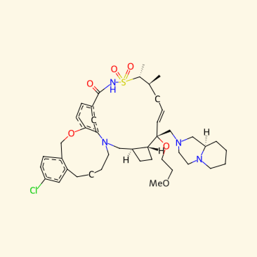 COCCO[C@@]1(CN2CCN3CCCC[C@@H]3C2)/C=C/C[C@H](C)[C@@H](C)S(=O)(=O)NC(=O)c2ccc3c(c2)N(CCCCc2cc(Cl)ccc2CO3)C[C@@H]2CC[C@H]21